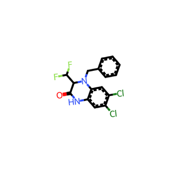 O=C1Nc2cc(Cl)c(Cl)cc2N(Cc2ccccc2)C1C(F)F